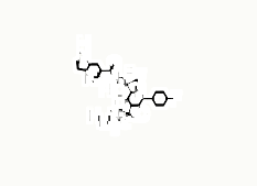 C[C@]1(C(N)=O)COc2c1cc(C(O)(CNC(=O)c1cnc3cc[nH]c3c1)C(F)(F)F)nc2-c1ccc(F)cc1